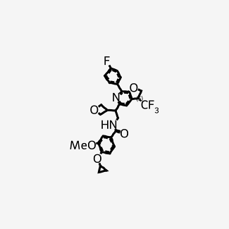 COc1cc(C(=O)NCC(c2cc3c(c(-c4ccc(F)cc4)n2)OC[C@H]3C(F)(F)F)C2COC2)ccc1OC1CC1